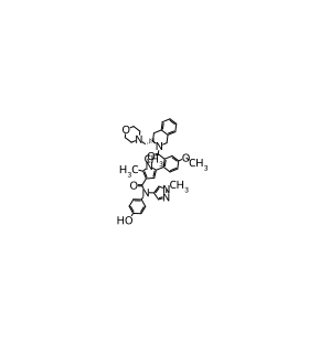 COc1ccc(-c2cc(C(=O)N(c3ccc(O)cc3)c3cnn(C)c3)c(C)n2C)c(C(=O)N2Cc3ccccc3C[C@H]2CN2CCOCC2)c1